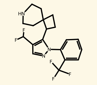 FC(F)c1cnn(-c2ccccc2C(F)(F)F)c1C1CCC12CCNCC2